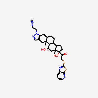 [C-]#[N+]CCn1ncc2c1C=C1CCC3C([C@@H](O)CC4(C)C3CC[C@]4(O)C(=O)CSc3nc4cccnc4s3)C1(C)C2